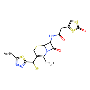 CC(=O)Nc1nnc(C(S)C2=C(C(=O)O)N3C(=O)C(NC(=O)Cc4csc(=O)s4)C3SC2)s1